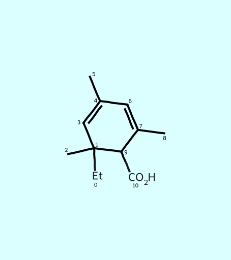 CCC1(C)C=C(C)C=C(C)C1C(=O)O